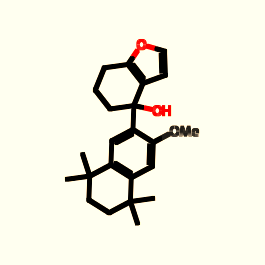 COc1cc2c(cc1C1(O)CCCc3occc31)C(C)(C)CCC2(C)C